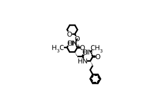 CNC(=O)[C@H](CCc1ccccc1)NC(=O)C[C@H](CC(C)C)C(=O)NOC1CCCCO1